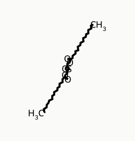 CCCCCCCCCCCCCCCCCC(=O)OCC1OC(COC(=O)CCCCCCCCCCCCCCCCC)S1